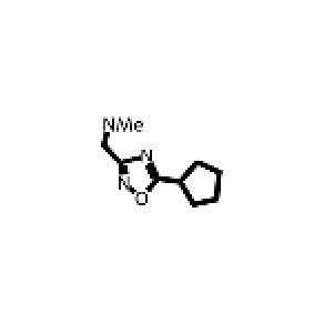 CNCc1noc(C2CCCC2)n1